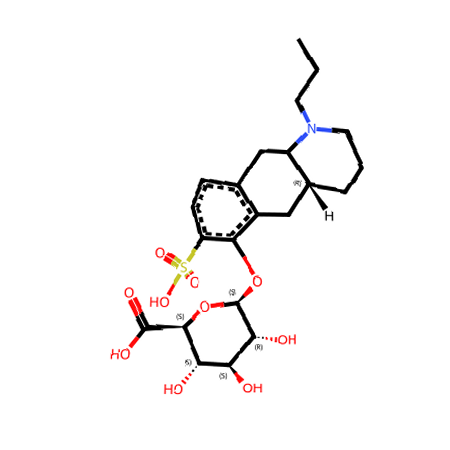 CCCN1CCC[C@@H]2Cc3c(ccc(S(=O)(=O)O)c3O[C@@H]3O[C@H](C(=O)O)[C@@H](O)[C@H](O)[C@H]3O)CC21